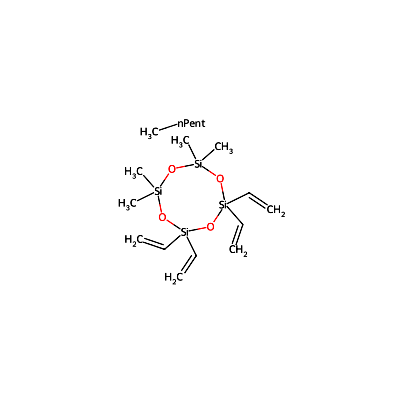 C=C[Si]1(C=C)O[Si](C)(C)O[Si](C)(C)O[Si](C=C)(C=C)O1.CCCCCC